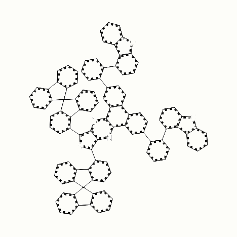 c1ccc(-c2cccc3oc4ccccc4c23)c(-c2ccc3c4ccc(-c5ccccc5-c5cccc6oc7ccccc7c56)cc4c4nc5c(-c6cccc7c6-c6ccccc6C76c7ccccc7-c7ccccc76)sc(-c6cccc7c6-c6ccccc6C76c7ccccc7-c7ccccc76)c5nc4c3c2)c1